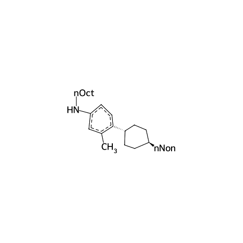 CCCCCCCCC[C@H]1CC[C@H](c2ccc(NCCCCCCCC)cc2C)CC1